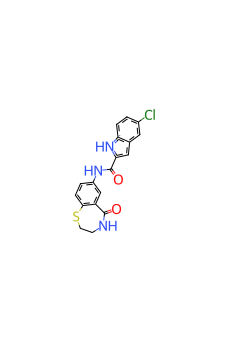 O=C(Nc1ccc2c(c1)C(=O)NCCS2)c1cc2cc(Cl)ccc2[nH]1